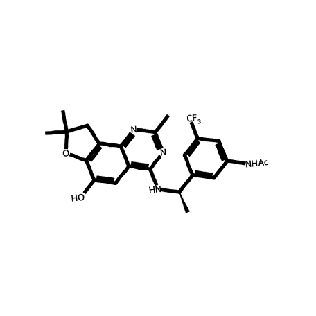 CC(=O)Nc1cc([C@@H](C)Nc2nc(C)nc3c4c(c(O)cc23)OC(C)(C)C4)cc(C(F)(F)F)c1